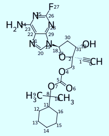 C#C[C@]1(COC(=O)OC(C)(C)C2CCCCC2)O[C@@H](n2cnc3c(N)nc(F)nc32)C[C@@H]1O